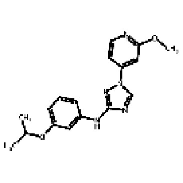 COc1cc(-n2cnc(Nc3cccc(OC(C)C)c3)n2)ccn1